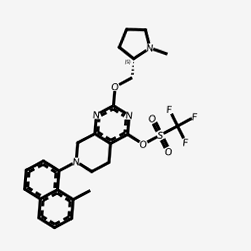 Cc1cccc2cccc(N3CCc4c(nc(OC[C@@H]5CCCN5C)nc4OS(=O)(=O)C(F)(F)F)C3)c12